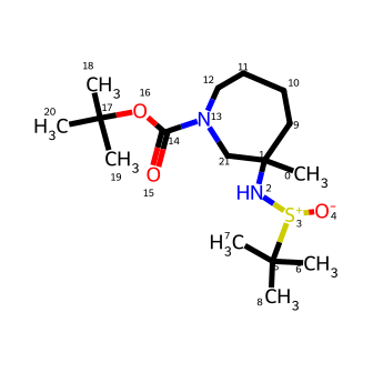 CC1(N[S+]([O-])C(C)(C)C)CCCCN(C(=O)OC(C)(C)C)C1